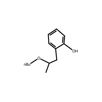 CCCCOC(C)Cc1ccccc1O